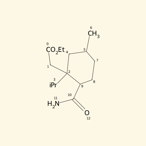 CCOC(=O)CC1(C(C)C)CC(C)CCC1C(N)=O